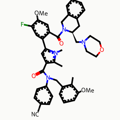 COc1cc(C(=O)N2Cc3ccccc3C[C@H]2CN2CCOCC2)c(-c2cc(C(=O)N(Cc3cccc(OC)c3C)c3ccc(C#N)cc3)c(C)n2C)cc1F